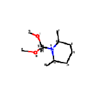 CO[SiH](OC)N1C(C)CCCC1C